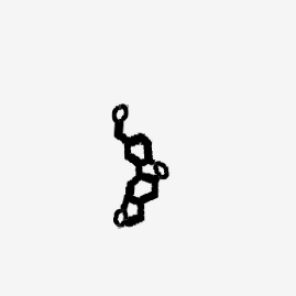 O=Cc1ccc2oc3cc4ccoc4cc3c2c1